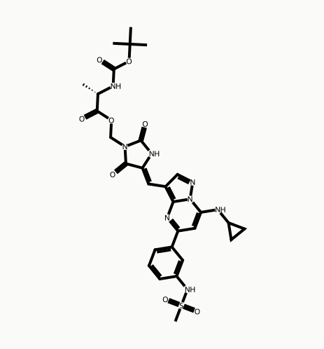 C[C@H](NC(=O)OC(C)(C)C)C(=O)OCN1C(=O)N/C(=C\c2cnn3c(NC4CC4)cc(-c4cccc(NS(C)(=O)=O)c4)nc23)C1=O